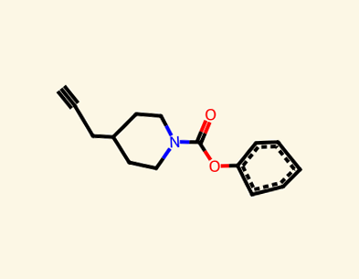 C#CCC1CCN(C(=O)Oc2ccccc2)CC1